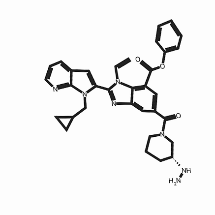 C=Cn1c(-c2cc3cccnc3n2CC2CC2)nc2cc(C(=O)N3CCC[C@@H](NN)C3)cc(C(=O)Oc3ccccc3)c21